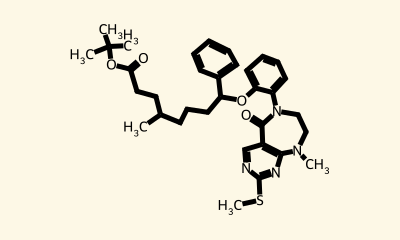 CSc1ncc2c(n1)N(C)CCN(c1ccccc1OC(CCCC(C)CCC(=O)OC(C)(C)C)c1ccccc1)C2=O